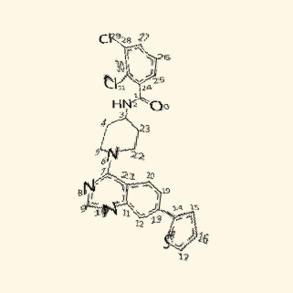 O=C(NC1CCN(c2ncnc3cc(-c4cccs4)ccc23)CC1)c1cccc(Cl)c1Cl